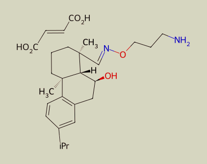 CC(C)c1ccc2c(c1)C[C@H](O)[C@H]1[C@](C)(/C=N/OCCCN)CCC[C@]21C.O=C(O)/C=C/C(=O)O